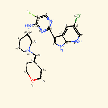 Fc1cnc(C2=CNC3NC=C(Cl)C=C23)nc1N[C@H]1CCCN(CC2CCOCC2)C1